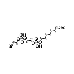 CCCCCCCCCCCCCCCCOP(=O)(O)OCCOP(=O)(O)OCCBr